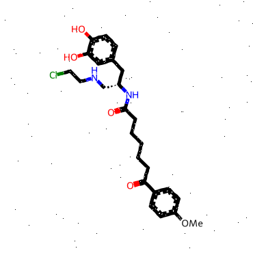 COc1ccc(C(=O)CCCCCC(=O)N[C@H](CNCCCl)Cc2ccc(O)c(O)c2)cc1